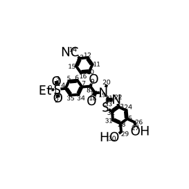 CCS(=O)(=O)c1ccc(C(Oc2ccc(C#N)cc2)C(=O)N(C)c2nc3cc(CO)c(CO)cc3s2)cc1